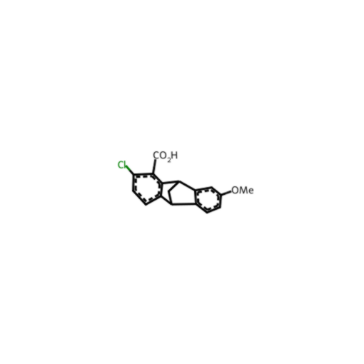 COc1ccc2c(c1)C1CC2c2ccc(Cl)c(C(=O)O)c21